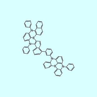 c1ccc(N2c3ccccc3B3c4ccccc4N(c4cccc(-c5cccc6c7c(ccc56)B5c6ccc8ccccc8c6N(c6ccccc6)c6cccc(c65)N7c5ccccc5)c4)c4cccc2c43)cc1